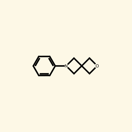 c1ccc(N2CC3(COC3)C2)cc1